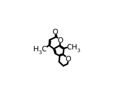 Cc1cc(=O)oc2c(C)c3c(cc12)CCCO3